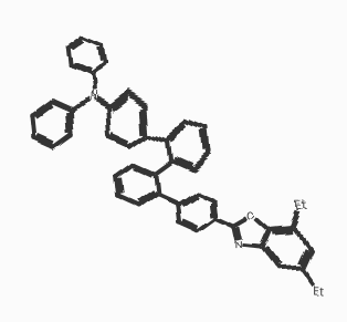 CCc1cc(CC)c2oc(-c3ccc(-c4ccccc4-c4ccccc4-c4ccc(N(c5ccccc5)c5ccccc5)cc4)cc3)nc2c1